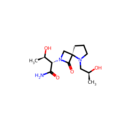 C[C@H](O)CN1CCC[C@]12CN([C@H](C(N)=O)[C@@H](C)O)C2=O